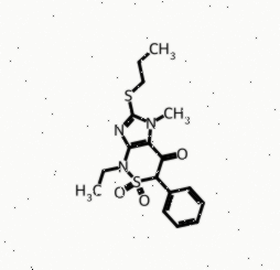 CCCSc1nc2c(n1C)C(=O)C(c1ccccc1)S(=O)(=O)N2CC